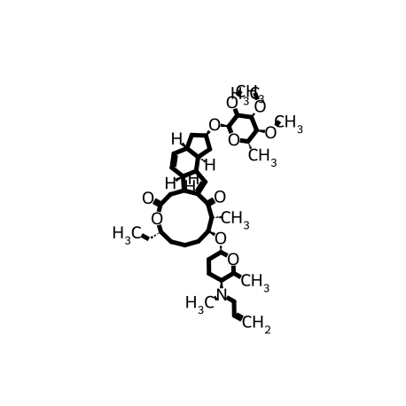 C=CCN(C)[C@H]1CC[C@H](O[C@H]2CCC[C@H](CC)OC(=O)C[C@@H]3C(=C[C@@H]4[C@H]3C=C[C@@H]3C[C@@H](O[C@@H]5O[C@@H](C)[C@H](OC)[C@@H](OC)C5OC)C[C@@H]43)C(=O)[C@@H]2C)OC1C